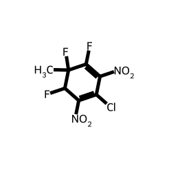 CC1(F)C(F)=C([N+](=O)[O-])C(Cl)=C([N+](=O)[O-])C1F